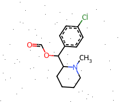 CN1CCCCC1C(OC=O)c1ccc(Cl)cc1